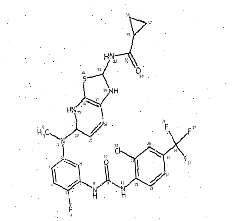 CN(c1ccc(F)c(NC(=O)Nc2ccc(C(F)(F)F)cc2Cl)c1)C1C=CC2=C(N1)SC(NC(=O)C1CC1)N2